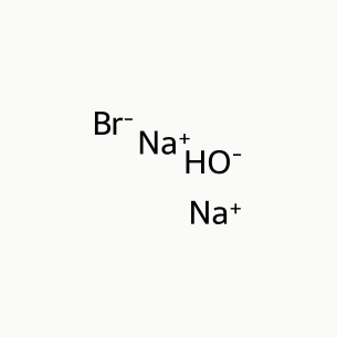 [Br-].[Na+].[Na+].[OH-]